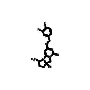 CCC12CCC(C)N1c1cc(OCc3ccc(F)c(F)c3)nc(=O)n1C2